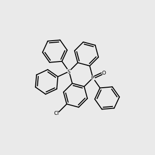 O=P1(c2ccccc2)c2ccccc2S(c2ccccc2)(c2ccccc2)c2cc(Cl)ccc21